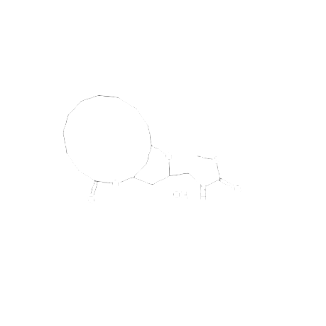 O=C1CCCCCCCCCC2CC(C[C@](O)([C@@H]3CSC(=O)N3)O2)O1